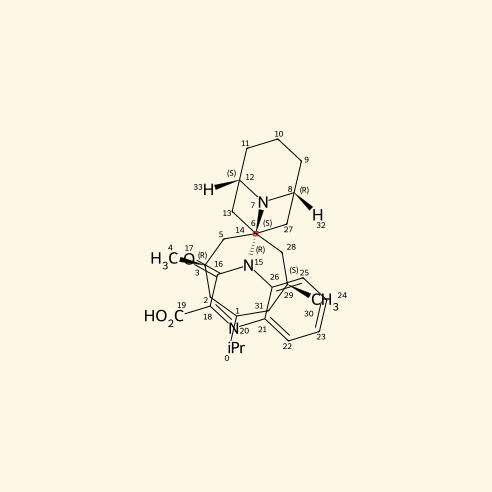 CC(C)C1C[C@@H](C)C[C@@H](N2[C@@H]3CCC[C@H]2C[C@@H](n2c(=O)c(C(=O)O)nc4ccccc42)C3)C[C@@H](C)C1